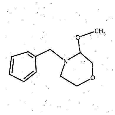 COC1COCCN1Cc1ccccc1